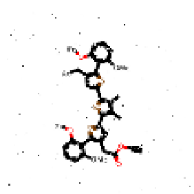 C#COC(=O)Cc1cc(-c2sc(-c3cc(CC(C)=O)c(-c4c(OC)cccc4OC(C)C)s3)c(C)c2C)sc1-c1c(OC)cccc1OC(C)C